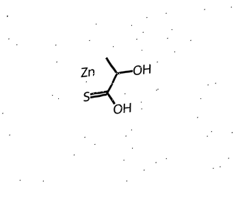 CC(O)C(O)=S.[Zn]